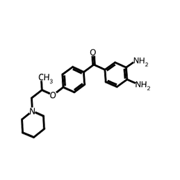 CC(CN1CCCCC1)Oc1ccc(C(=O)c2ccc(N)c(N)c2)cc1